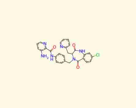 Nc1cccnc1C(=O)Nc1ccc(CN2C(=O)c3ccc(Cl)cc3NC(=O)C2Cc2ccccn2)cc1